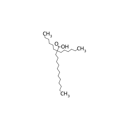 CCCCCCCCCCCCC(CCCCCC)(CCCCCC)C(=O)O